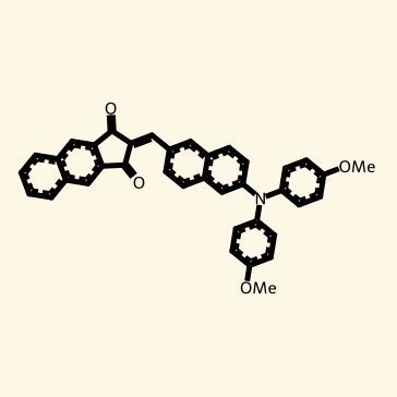 COc1ccc(N(c2ccc(OC)cc2)c2ccc3cc(C=C4C(=O)c5cc6ccccc6cc5C4=O)ccc3c2)cc1